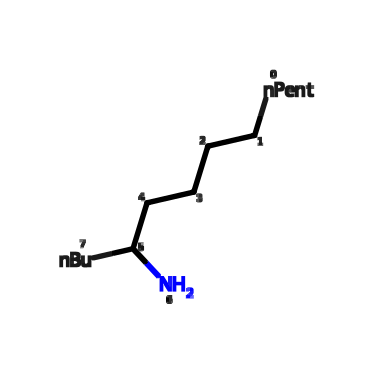 CCCCCCCCCC(N)CCCC